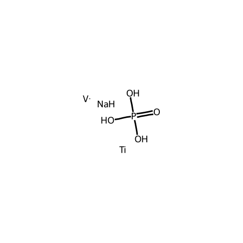 O=P(O)(O)O.[NaH].[Ti].[V]